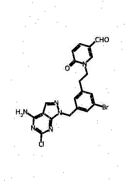 Nc1nc(Cl)nc2c1cnn2Cc1cc(Br)cc(CCn2cc(C=O)ccc2=O)c1